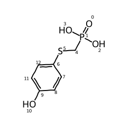 O=P(O)(O)CSc1ccc(O)cc1